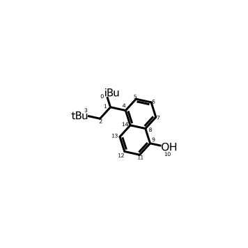 CCC(C)C(CC(C)(C)C)c1cccc2c(O)cccc12